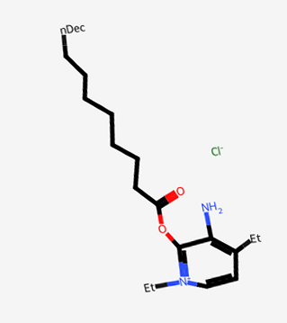 CCCCCCCCCCCCCCCCCC(=O)Oc1c(N)c(CC)cc[n+]1CC.[Cl-]